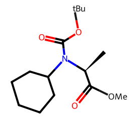 COC(=O)[C@H](C)N(C(=O)OC(C)(C)C)C1CCCCC1